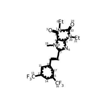 CCn1c(=O)c2c(nc(/C=C/c3cc(C(F)(F)F)cc(C(F)(F)F)c3)n2C)n(CC)c1=O